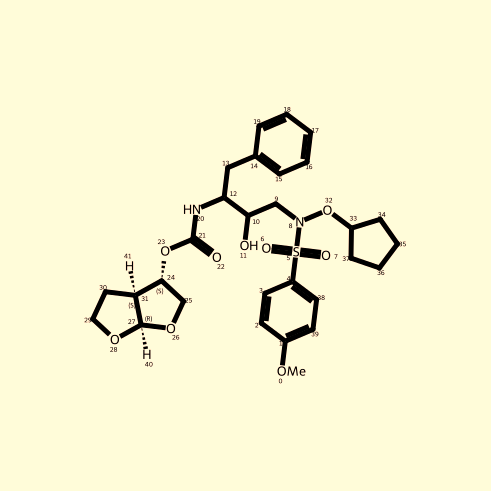 COc1ccc(S(=O)(=O)N(CC(O)C(Cc2ccccc2)NC(=O)O[C@@H]2CO[C@H]3OCC[C@H]32)OC2CCCC2)cc1